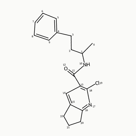 CC(CCc1ccccc1)NC(=O)c1cc2c(nc1Cl)CCC2